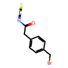 O=C(Cc1ccc(CBr)cc1)N=C=S